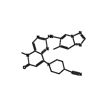 Cc1cc2ncnn2cc1Nc1ncc2c(n1)c(N1CCC(C#N)CC1)cc(=O)n2C